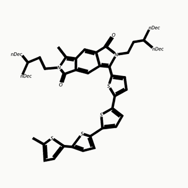 CCCCCCCCCCC(CCCCCCCCCC)CCN1C(=O)c2cc3c(cc2=C1C)C(=O)N(CCC(CCCCCCCCCC)CCCCCCCCCC)C=3c1ccc(-c2ccc(-c3ccc(-c4ccc(C)s4)s3)s2)s1